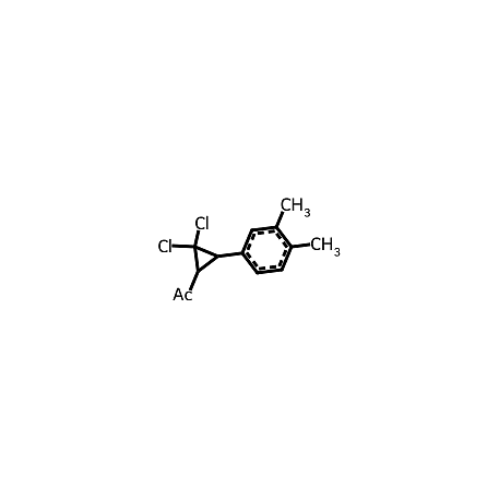 CC(=O)C1C(c2ccc(C)c(C)c2)C1(Cl)Cl